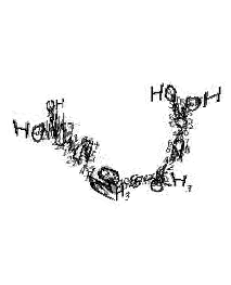 CN(CCCC[n+]1ccc(/C=C/c2ccc(N(CCO)CCO)cc2)cc1)C(=O)CCCSSCCCC(=O)N(C)CCCC[n+]1ccc(/C=C/c2ccc(N(CCO)CCO)cc2)cc1